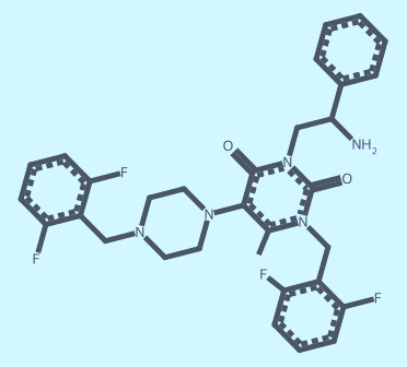 Cc1c(N2CCN(Cc3c(F)cccc3F)CC2)c(=O)n(CC(N)c2ccccc2)c(=O)n1Cc1c(F)cccc1F